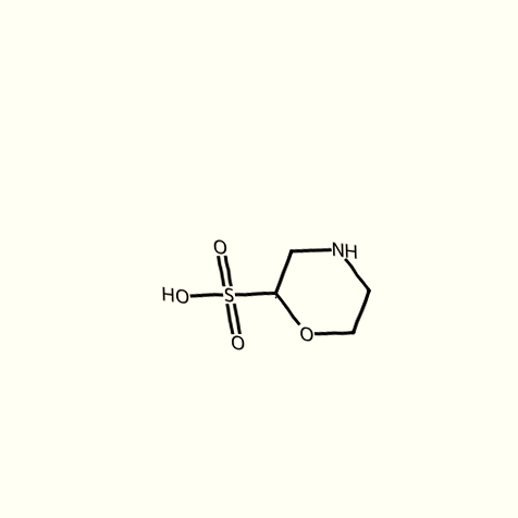 O=S(=O)(O)[C]1CNCCO1